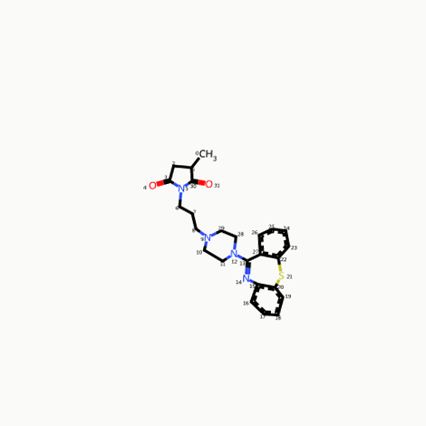 CC1CC(=O)N(CCCN2CCN(C3=Nc4ccccc4Sc4ccccc43)CC2)C1=O